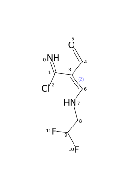 N=C(Cl)/C(C=O)=C\NCC(F)F